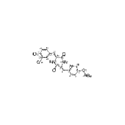 CCCCOc1ccc(C=c2[nH]c(=O)c(=Cc3ccc(Cl)c(Cl)c3)[nH]c2=O)nc1